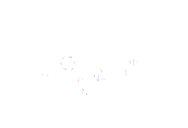 CC(C)(C)C(=O)CCC(=O)N[C@H]1Cc2cccc(C(=O)O)c2OB1N=O